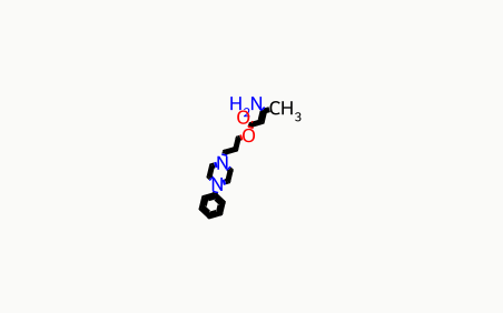 CC(N)=CC(=O)OCCCN1CCN(c2ccccc2)CC1